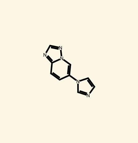 c1cn(-c2ccc3ncnn3c2)cn1